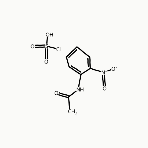 CC(=O)Nc1ccccc1[N+](=O)[O-].O=S(=O)(O)Cl